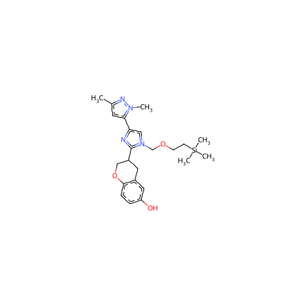 Cc1cc(-c2cn(COCC[Si](C)(C)C)c(C3COc4ccc(O)cc4C3)n2)n(C)n1